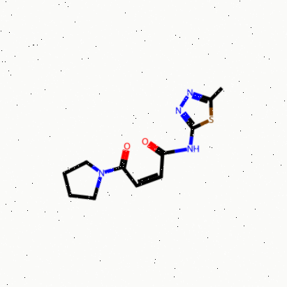 Cc1nnc(NC(=O)/C=C\C(=O)N2CCCC2)s1